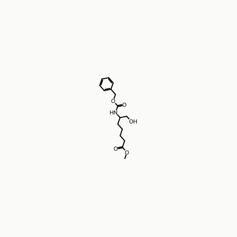 COC(=O)CCCCC(CO)NC(=O)OCc1ccccc1